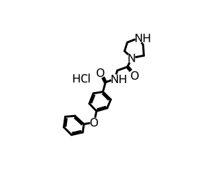 Cl.O=C(NCC(=O)N1CCNCC1)c1ccc(Oc2ccccc2)cc1